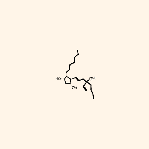 C=CC(O)(C/C=C/[C@@H]1[C@@H](CCCCCCC)[C@@H](O)C[C@H]1O)CCCC